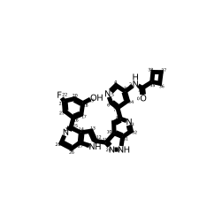 O=C(Nc1cncc(-c2cc3c(-c4cc5c(-c6cc(O)cc(F)c6)nccc5[nH]4)n[nH]c3cn2)c1)C1CCC1